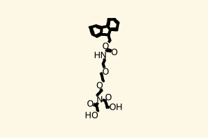 O=C(NCCOCCOCCN(C(=O)CO)C(=O)CO)OCC1c2ccccc2-c2ccccc21